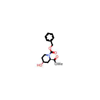 COC(=O)[C@H]1C[C@@H](O)CCN1C(=O)OCc1ccccc1